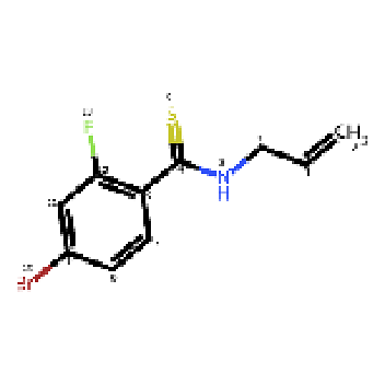 C=CCNC(=S)c1ccc(Br)cc1F